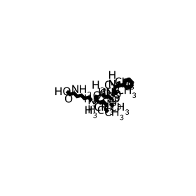 CN[C@H](C(=O)N[C@H](C(=O)N(C)[C@H](/C=C(\C)C(=O)NCCCC[C@@H](N)C(=O)O)C(C)C)C(C)(C)C)C(C)(C)c1ccccc1